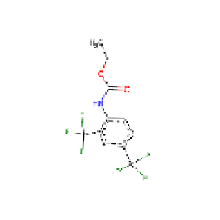 [CH2]COC(=O)Nc1ccc(C(F)(F)F)cc1C(F)(F)F